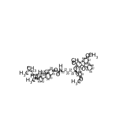 COc1ccc(C(OC[C@@H]2C[C@@H](OC)CN2C(=O)CCCCCNC(=O)O[C@H]2CC[C@@]3(C)C(=CCC4C3CC[C@@]3(C)C4CC[C@@H]3[C@H](C)CCCC(C)C)C2)(c2ccccc2)c2ccc(OC)cc2)cc1